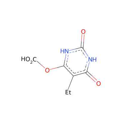 CCc1c(OC(=O)O)[nH]c(=O)[nH]c1=O